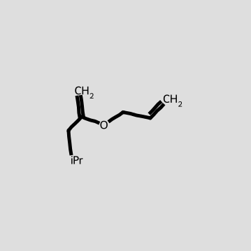 C=CCOC(=C)CC(C)C